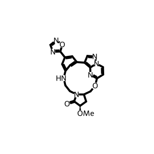 CO[C@@H]1CC2COc3ccn4ncc(c4n3)-c3cc(cc(-c4ncno4)c3)NCCN2C1=O